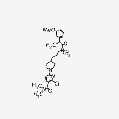 COc1cccc([C@@H](C(=O)N(C)CCCC2CCN(c3ccc(C(=O)N(C)C)c(Cl)n3)CC2)C(F)(F)F)c1